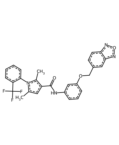 Cc1cc(C(=O)Nc2cccc(OCc3ccc4nonc4c3)c2)c(C)n1-c1ccccc1C(F)(F)F